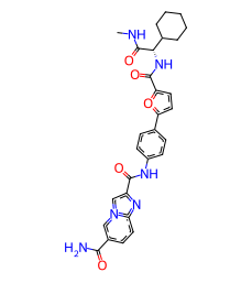 CNC(=O)[C@@H](NC(=O)c1ccc(-c2ccc(NC(=O)c3cn4cc(C(N)=O)ccc4n3)cc2)o1)C1CCCCC1